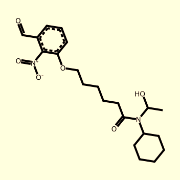 CC(O)N(C(=O)CCCCCOc1cccc(C=O)c1[N+](=O)[O-])C1CCCCC1